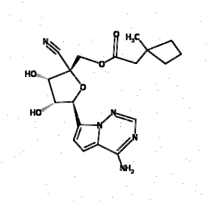 CC1(CC(=O)OC[C@@]2(C#N)O[C@@H](c3ccc4c(N)ncnn34)[C@H](O)[C@@H]2O)CCC1